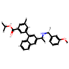 COc1cccc([C@@H](C)NC(C)c2cc(-c3cc(C)cc(C(=O)OC(C)C)c3)c3ccccc3c2)c1